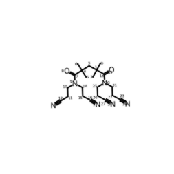 CC(C)(CC(C)(C)C(=O)N(CCC#N)CCC#N)C(=O)N(CCC#N)CCC#N